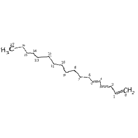 C=CC=CC=CCCCCCC[CH]CCCCC